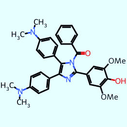 COc1cc(-c2nc(-c3ccc(N(C)C)cc3)c(-c3ccc(N(C)C)cc3)n2C(=O)c2ccccc2)cc(OC)c1O